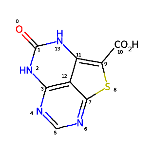 O=C1Nc2ncnc3sc(C(=O)O)c(c23)N1